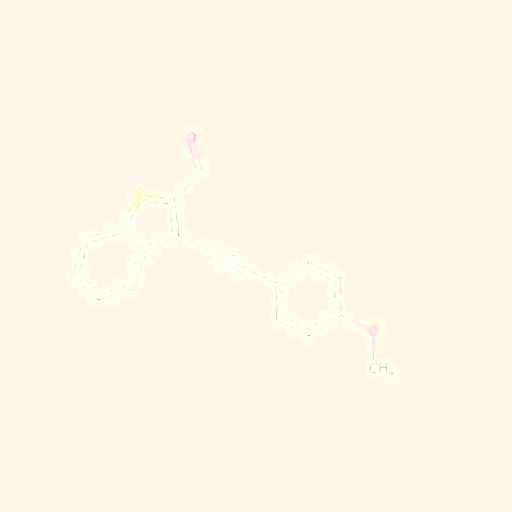 COc1ccc(C#Cc2c(C=O)sc3ccccc23)cc1